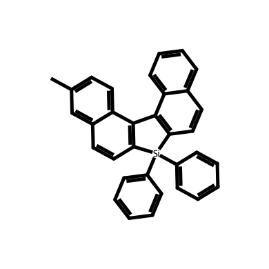 Cc1ccc2c3c(ccc2c1)[Si](c1ccccc1)(c1ccccc1)c1ccc2ccccc2c1-3